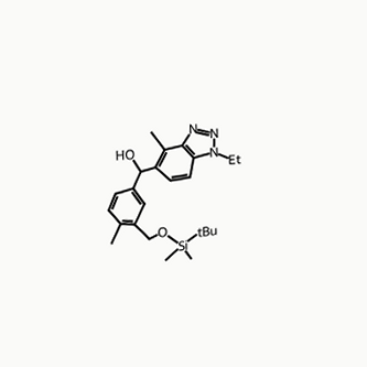 CCn1nnc2c(C)c(C(O)c3ccc(C)c(CO[Si](C)(C)C(C)(C)C)c3)ccc21